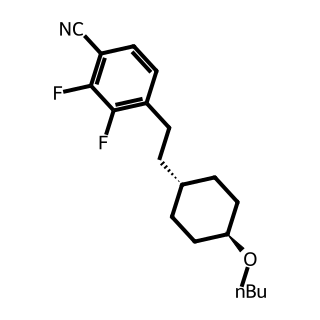 CCCCO[C@H]1CC[C@H](CCc2ccc(C#N)c(F)c2F)CC1